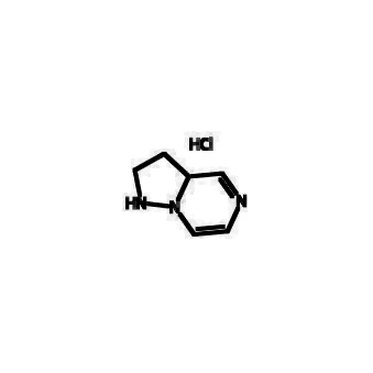 C1=CN2NCCC2C=N1.Cl